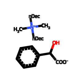 CCCCCCCCCC[N+](C)(C)CCCCCCCCCC.O=C([O-])C(O)c1ccccc1